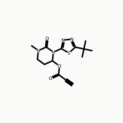 C#CC(=O)OC1CCN(C)C(=O)N1c1nnc(C(C)(C)C)s1